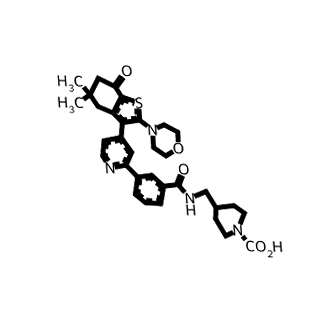 CC1(C)CC(=O)c2sc(N3CCOCC3)c(-c3ccnc(-c4cccc(C(=O)NCC5CCN(C(=O)O)CC5)c4)c3)c2C1